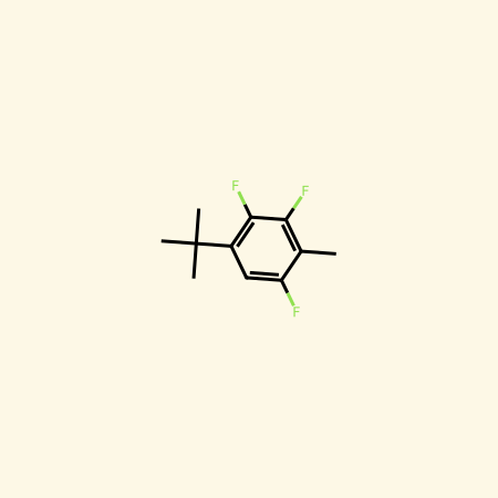 Cc1c(F)cc(C(C)(C)C)c(F)c1F